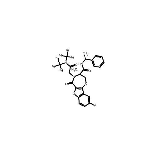 [2H]C([2H])([2H])N(C(=O)CN1C(=O)c2oc3ccc(F)cc3c2OC[C@]1(C)C(=O)N[C@@H](C)c1ccccc1)C([2H])([2H])[2H]